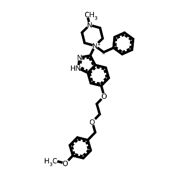 COc1ccc(COCCOc2ccc3c([N+]4([C]c5ccccc5)CCN(C)CC4)n[nH]c3c2)cc1